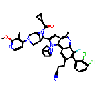 COc1nccc(N2CC3CC(C2)N(C(=O)C2CC2)C3c2cc3c(C)nc4c(F)c(-c5cccc(Cl)c5Cl)c(CCC#N)cc4c3n2C2C3CNC2C3)c1C